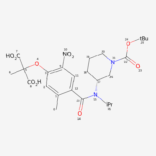 Cc1cc(OC(C)(C(=O)O)C(=O)O)c([N+](=O)[O-])cc1C(=O)N(C(C)C)[C@@H]1CCCN(C(=O)OC(C)(C)C)C1